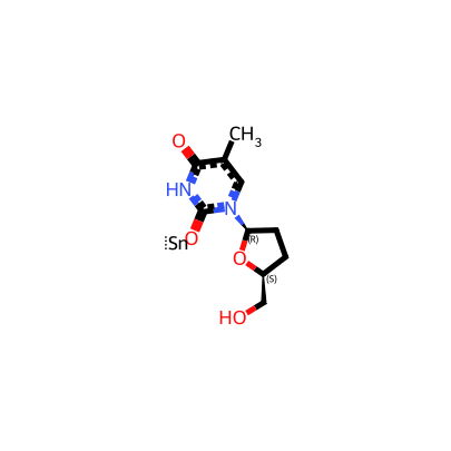 Cc1cn([C@H]2CC[C@@H](CO)O2)c(=O)[nH]c1=O.[Sn]